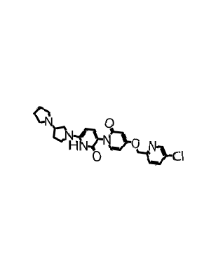 O=c1[nH]c(N2CCC(N3CCCC3)C2)ccc1-n1ccc(OCc2ccc(Cl)cn2)cc1=O